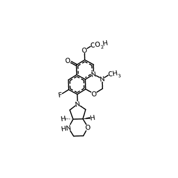 CN1COc2c(N3C[C@@H]4NCCO[C@H]4C3)c(F)cc3c(=O)c(OC(=O)O)cn1c23